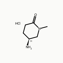 CN1C[C@@H](N)CCC1=O.Cl